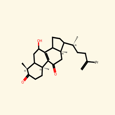 C=C(CC[C@@H](C)C1CCC2C3=C(C(=O)C[C@@]21C)[C@@]1(C)CCC(=O)[C@@H](C)C1CC3O)C(C)C